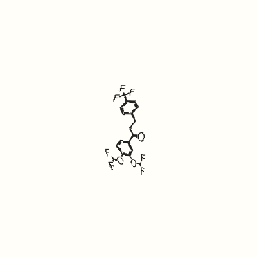 O=C(CCc1ccc(C(F)(F)F)cc1)c1ccc(OC(F)F)c(OC(F)F)c1